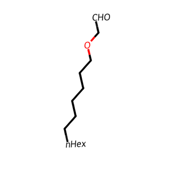 CCCCCCCCCCCCOCC=O